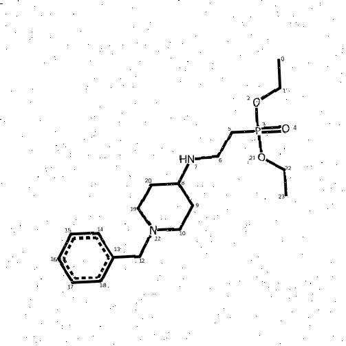 CCOP(=O)(CCNC1CCN(Cc2ccccc2)CC1)OCC